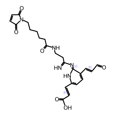 N=C(CCNC(=O)CCCCCN1C(=O)C=CC1=O)/N=c1\[nH]c(/C=C/C(=O)O)ccc1/C=C/C=O